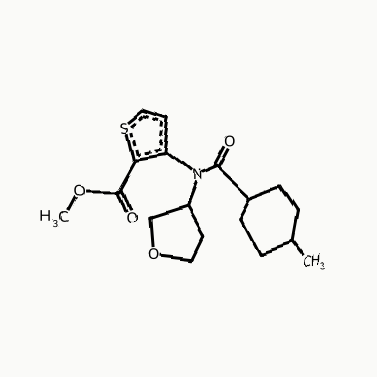 COC(=O)c1sccc1N(C(=O)C1CCC(C)CC1)C1CCOC1